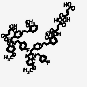 COc1ccc2nc(CC3CCN(CCc4ccccc4OC)CC3)n(Cc3ccc(F)cc3)c2c1.COc1ccc2nc(CC3CCN(CCc4ccccc4OC)CC3)n(Cc3ccc(F)cc3)c2c1.O=C(O)C=CC(=O)O.O=C(O)C=CC(=O)O.O=C(O)C=CC(=O)O